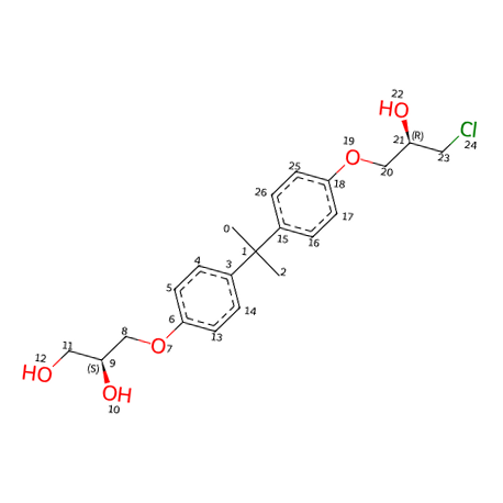 CC(C)(c1ccc(OC[C@@H](O)CO)cc1)c1ccc(OC[C@@H](O)CCl)cc1